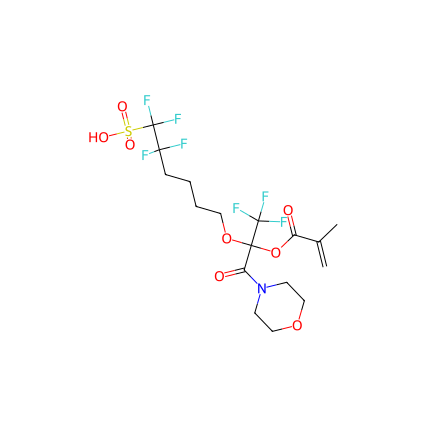 C=C(C)C(=O)OC(OCCCCC(F)(F)C(F)(F)S(=O)(=O)O)(C(=O)N1CCOCC1)C(F)(F)F